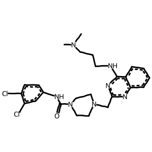 CN(C)CCCNc1nc(CN2CCN(C(=O)Nc3ccc(Cl)c(Cl)c3)CC2)nc2ccccc12